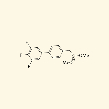 CO[SiH](Cc1ccc(-c2cc(F)c(F)c(F)c2)cc1)OC